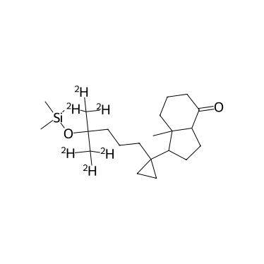 [2H]C([2H])([2H])C(CCCC1(C2CCC3C(=O)CCCC32C)CC1)(O[Si](C)(C)C)C([2H])([2H])[2H]